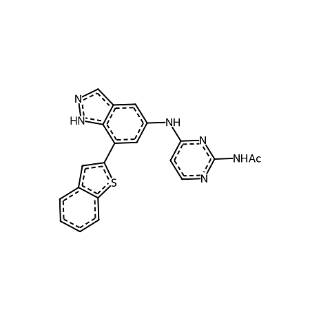 CC(=O)Nc1nccc(Nc2cc(-c3cc4ccccc4s3)c3[nH]ncc3c2)n1